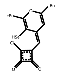 CC(C)(C)C1=CC(=Cc2c(Cl)c(=O)c2=O)C([SeH])=C(C(C)(C)C)O1